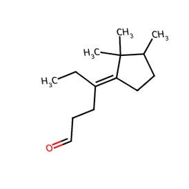 CC/C(CCC=O)=C1/CCC(C)C1(C)C